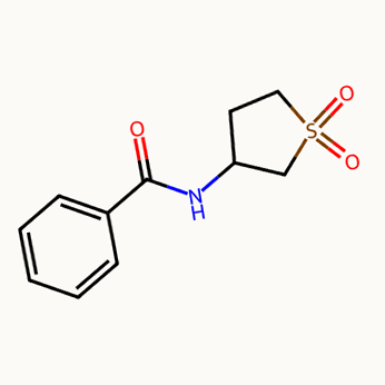 O=C(NC1CCS(=O)(=O)C1)c1ccccc1